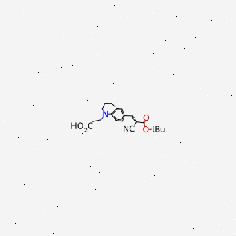 CC(C)(C)OC(=O)/C(C#N)=C/c1ccc2c(c1)CCCN2CCC(=O)O